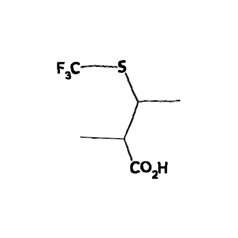 CC(SC(F)(F)F)C(C)C(=O)O